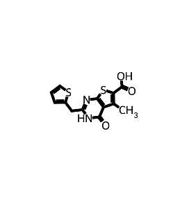 Cc1c(C(=O)O)sc2nc(Cc3cccs3)[nH]c(=O)c12